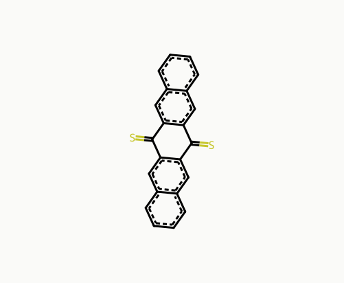 S=C1c2cc3ccccc3cc2C(=S)c2cc3ccccc3cc21